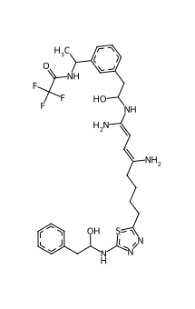 CC(NC(=O)C(F)(F)F)c1cccc(CC(O)N/C(N)=C/C=C(\N)CCCCc2nnc(NC(O)Cc3ccccc3)s2)c1